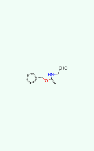 C=C(NCC=O)OCc1ccccc1